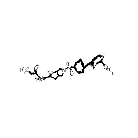 C=CC(=O)NC1CC2CN(S(=O)(=O)c3ccc(-c4csc(C)n4)cc3)CC2O1